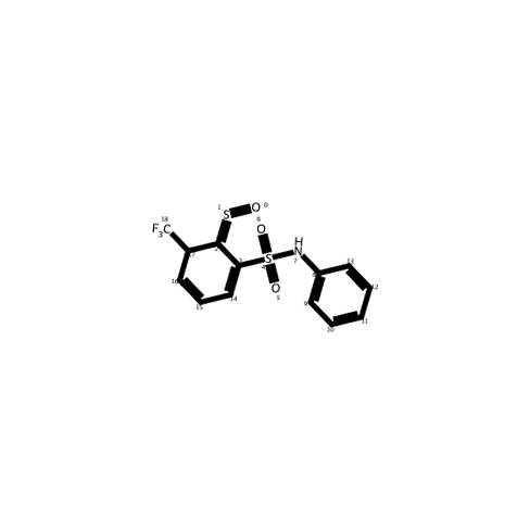 O=S=C1C(S(=O)(=O)Nc2ccccc2)=CC=CC1C(F)(F)F